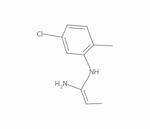 C/C=C(/N)Nc1cc(Cl)ccc1C